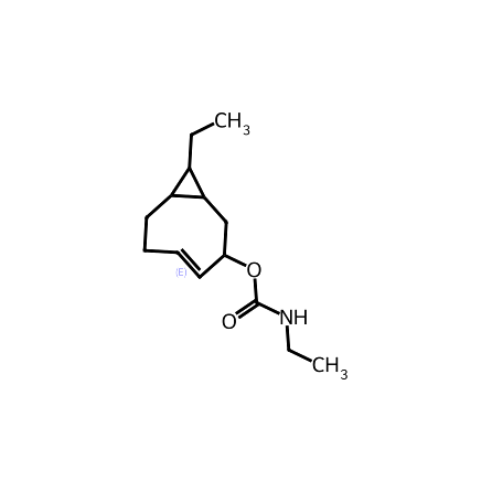 CCNC(=O)OC1/C=C/CCC2C(CC)C2C1